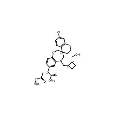 COC(=O)[C@H](CC(=O)OC(C)(C)C)c1ccc2c(c1)N(C[C@@H]1CC[C@H]1CO)C[C@@]1(CCCc3cc(Cl)ccc31)CO2